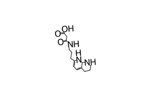 O=C(O)CC(=O)NCCCC1=CC=C2CCCNC2N1